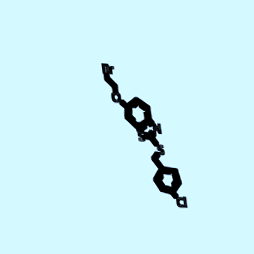 Clc1ccc(CSc2nc3ccc(OCCBr)cc3s2)cc1